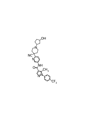 Cc1c(C(=O)Nc2ccc(C3(C#N)CCN(C4CCC(O)C4)CC3)nc2)cnn1-c1ccc(C(F)(F)F)cc1